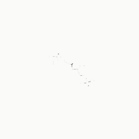 O=C(COP(=O)(O)O)C(O)C(O)COP(=O)(O)O